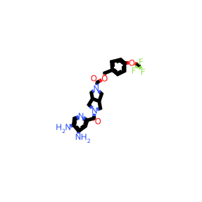 Nc1cnc(C(=O)N2CC3CN(C(=O)OCc4ccc(OC(F)(F)F)cc4)CC3C2)cc1N